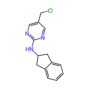 ClCc1cnc(NC2Cc3ccccc3C2)nc1